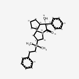 C[N+](C)(CCc1ccccc1)C1CCN(C(=O)[C@](O)(c2ccccc2)C2CCCC2)C1